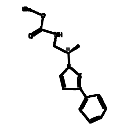 C[C@H](CNC(=O)OC(C)(C)C)n1ccc(-c2ccccc2)n1